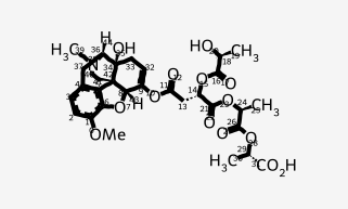 COc1ccc2c3c1O[C@H]1C(OC(=O)C[C@H](OC(=O)[C@H](C)O)C(=O)O[C@@H](C)C(=O)O[C@@H](C)C(=O)O)=CC[C@@]4(O)[C@@H](C2)N(C)CC[C@]314